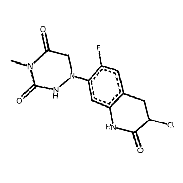 CN1C(=O)CN(c2cc3c(cc2F)CC(Cl)C(=O)N3)NC1=O